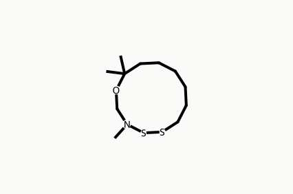 CN1COC(C)(C)CCCCCCSS1